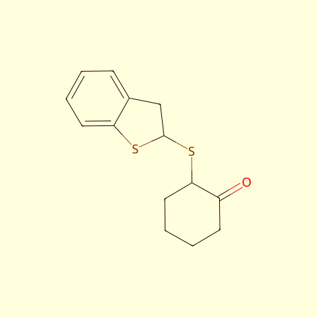 O=C1CCCCC1SC1Cc2ccccc2S1